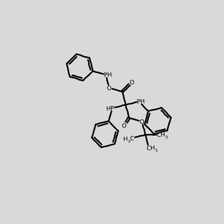 CC(C)(C)OC(=O)C(Pc1ccccc1)(Pc1ccccc1)C(=O)OPc1ccccc1